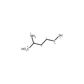 NC(CCSS)C(=O)O